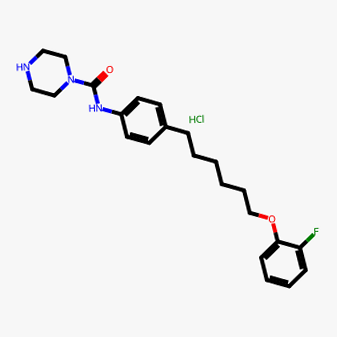 Cl.O=C(Nc1ccc(CCCCCCOc2ccccc2F)cc1)N1CCNCC1